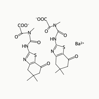 CN(C(=O)Nc1nc2c(s1)C(=O)CC(C)(C)C2)C(=O)C(=O)[O-].CN(C(=O)Nc1nc2c(s1)C(=O)CC(C)(C)C2)C(=O)C(=O)[O-].[Ba+2]